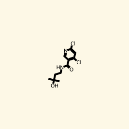 CC(C)(O)CCNC(=O)c1cnc(Cl)cc1Cl